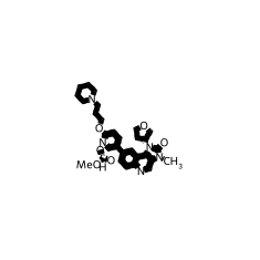 CO[SH](=O)=O.Cn1c(=O)n([C@@H]2CCOC2)c2c3cc(-c4ccc(OCCCN5CCCCC5)nc4)ccc3ncc21